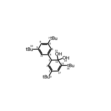 CC(C)(C)C1=CC(c2cc(C(C)(C)C)cc(C(C)(C)C)c2)C(O)(O)C(C(C)(C)C)=C1